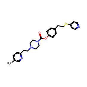 Cc1ccc(CCN2CCN(C(=O)Oc3ccc(CCSc4ccncc4)cc3)CC2)nc1